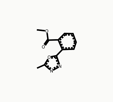 COC(=O)c1ccccc1-c1nnc(C)o1